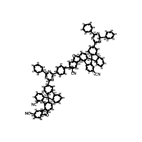 N#Cc1ccc2c(c1)C1(c3ccccc3-c3cc(-c4nc(-c5ccccc5)nc(-c5ccccc5)n4)ccc31)c1ccc3oc4cc(-c5ccc(-c6nc(-c7ccccc7)nc(-c7ccc8c(c7)-c7ccccc7C87c8cccc(C#N)c8-c8c7ccc7oc9ccc(C#N)cc9c87)n6)cc5)c(C#N)cc4c3c1-2